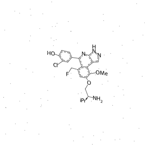 COc1c(OC[C@@H](N)C(C)C)cc(CF)c2c(-c3ccc(O)c(Cl)c3)nc3[nH]ncc3c12